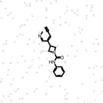 C#C/C=C(\C=N/C)C1CN(C(=O)Nc2ccccc2)C1